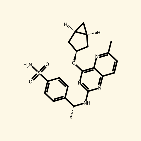 Cc1ccc2nc(N[C@H](C)c3ccc(S(N)(=O)=O)cc3)nc(O[C@@H]3C[C@@H]4C[C@@H]4C3)c2n1